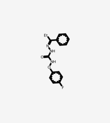 CCC(=NNC(=O)NOc1ccc(F)cc1)c1ccccc1